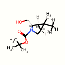 [2H]C([2H])([2H])C1(C)[C@@H]2[C@@H](CO)N(C(=O)OC(C)(C)C)C[C@@H]21